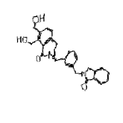 O=C1c2ccccc2CN1Cc1cccc(CN2Cc3ccc(CO)c(CO)c3C2=O)c1